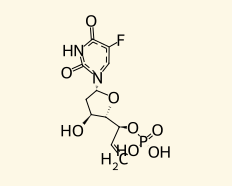 C=C[C@H](OP(=O)(O)O)[C@H]1O[C@@H](n2cc(F)c(=O)[nH]c2=O)C[C@@H]1O